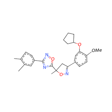 COc1ccc(C2=NOC(C)(c3nc(-c4ccc(C)c(C)c4)no3)C2)cc1OC1CCCC1